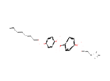 CCCCCCCCOc1ccc(OC(=O)c2ccc(OCCC[Si](C)(C)C)cc2)cc1